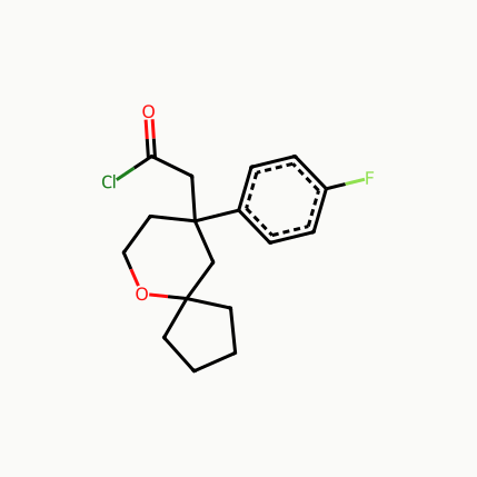 O=C(Cl)CC1(c2ccc(F)cc2)CCOC2(CCCC2)C1